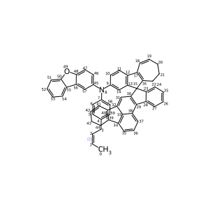 C/C=C\Cc1ccc(N(c2ccc3c(c2)C2(C4=C3C=CCCC4)c3ccccc3-c3c2cc2c4c(cccc34)C3=C2C=CCC3)c2ccc3oc4ccccc4c3c2)cc1